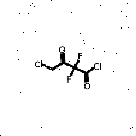 O=C(Cl)C(F)(F)C(=O)CCl